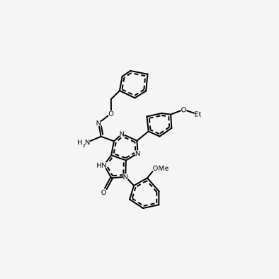 CCOc1ccc(-c2nc(/C(N)=N\OCc3ccccc3)c3[nH]c(=O)n(-c4ccccc4OC)c3n2)cc1